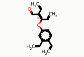 C=C/C(C=O)=C(\C=C)Oc1ccc(C=C)c(C=C)c1